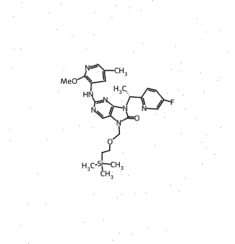 COc1ncc(C)cc1Nc1ncc2c(n1)n([C@H](C)c1ccc(F)cn1)c(=O)n2COCC[Si](C)(C)C